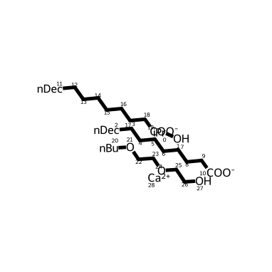 CC(C)O.CCCCCCCCCCCCCCCCCC(=O)[O-].CCCCCCCCCCCCCCCCCC(=O)[O-].CCCCOCCOCCO.[Ca+2]